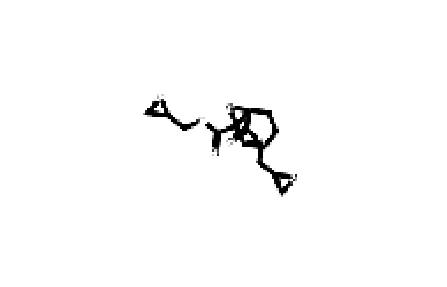 O=C(OCC1CO1)C12C=CCCC1(C(=O)OCC1CO1)O2